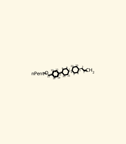 C=CC[C@H]1CC[C@H](C2CCC(c3ccc(COCCCCC)cc3)CC2)CC1